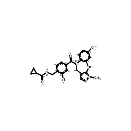 Cn1ncc2c1Nc1cc(Cl)ccc1N(C(=O)c1ccc(CNC(=O)C3CC3)c(Cl)c1)C2